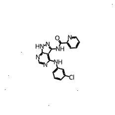 O=C(Nc1n[nH]c2ncnc(Nc3cccc(Cl)c3)c12)c1ccccn1